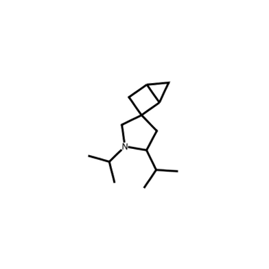 CC(C)C1CC2(CC3CC32)CN1C(C)C